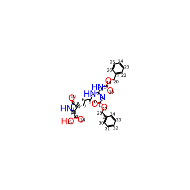 O=C(N=C(NCCC[C@H]1C(=O)N[C@@H]1C(=O)O)NC(=O)OCc1ccccc1)OCc1ccccc1